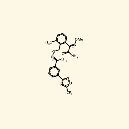 CO/N=C(/C(N)=O)c1cccc(C)c1CO/N=C(\C)c1cccc(-c2noc(C(F)(F)F)n2)c1